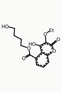 CCOc1c(O)c2c(C(=O)OCCCCO)cccc2oc1=O